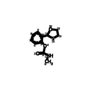 CNC(=O)Oc1ccccc1C1OCCS1